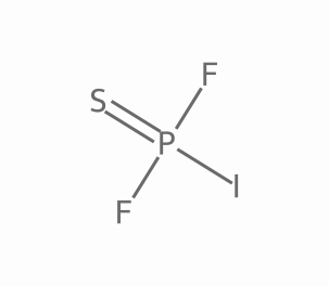 FP(F)(=S)I